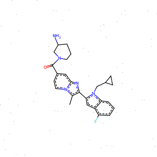 Cc1c(-c2cc3c(F)cccc3n2CC2CC2)nc2cc(C(=O)N3CCCC(N)C3)ccn12